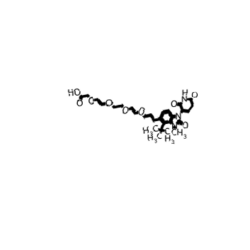 Cn1c(=O)n(C2CCC(=O)NC2=O)c2ccc(CCCOCCOCCOCCOCC(=O)O)c(C(C)(C)C)c21